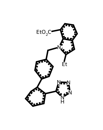 CCOC(=O)c1cccc2cc(CC)n(Cc3ccc(-c4ccccc4-c4nnn[nH]4)cc3)c12